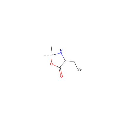 CC(C)C[C@H]1NC(C)(C)OC1=O